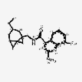 CCC1CC2CC23CC3(CNC(=O)c2nc(N)nc3c(F)cccc23)C1